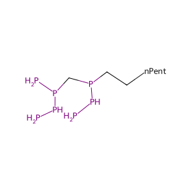 CCCCCCCP(CP(P)PP)PP